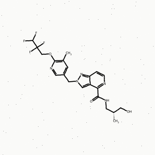 Cc1cc(Cn2cc3c(C(=O)NC[C@@H](C)CO)nccc3n2)cnc1OCC(F)(F)C(F)F